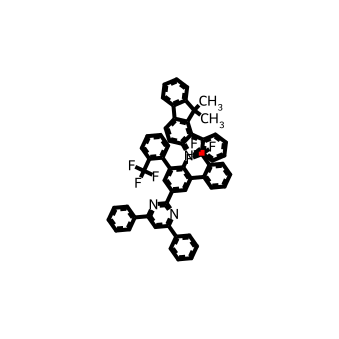 CC1(C)c2ccccc2-c2ccc3c(c21)c1ccccc1n3-c1c(-c2ccccc2C(F)(F)F)cc(-c2nc(-c3ccccc3)cc(-c3ccccc3)n2)cc1-c1ccccc1C(F)(F)F